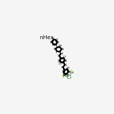 CCCCCCc1ccc([C@H]2CC[C@H](CCc3ccc(CCc4cc(F)c(Cl)c(F)c4)cc3)CC2)cc1